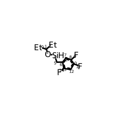 CCC(CC)O[SiH2]Cc1cc(F)c(F)cc1F